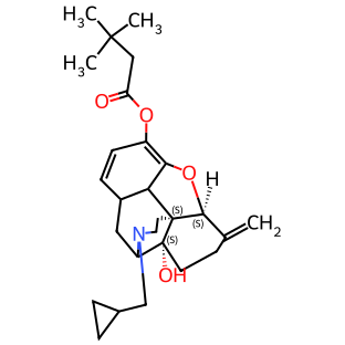 C=C1CC[C@@]2(O)C3CC4C=CC(OC(=O)CC(C)(C)C)=C5O[C@@H]1[C@]2(CCN3CC1CC1)C54